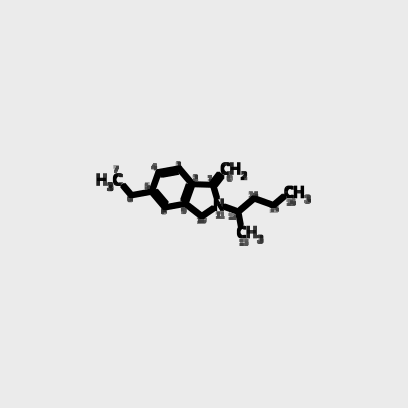 C=C1c2ccc(CC)cc2CN1C(C)CCC